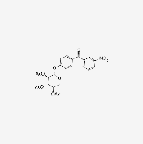 CC(=O)O[C@@H]1[C@@H](OC(C)=O)[C@H](Oc2ccc(C(=O)c3cccc([N+](=O)[O-])c3)cc2)OC[C@H]1OC(C)=O